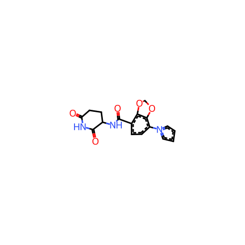 O=C1CCC(NC(=O)c2ccc(-n3cccc3)c3c2OCO3)C(=O)N1